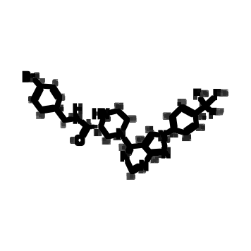 O=C(NCc1ccc(Br)cc1)[C@H]1CN(c2ncnc3nn(-c4ccc(C(F)(F)F)cc4)cc23)CCN1